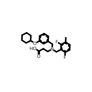 Cc1ccc(F)c(CN(CCC(=O)O)Cc2cccc(OC3CCCCC3)c2)c1F